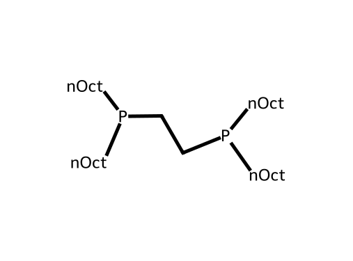 CCCCCCCCP(CCCCCCCC)CCP(CCCCCCCC)CCCCCCCC